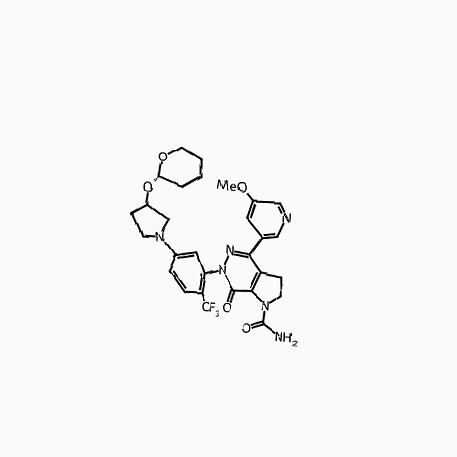 COc1cncc(-c2nn(-c3cc(N4CCC(O[C@H]5CCCCO5)C4)ccc3C(F)(F)F)c(=O)c3c2CCN3C(N)=O)c1